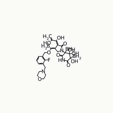 B/C(OCc1cccc(CN2CCOCC2)c1F)=C1/CN(C2(B)C(=O)NC(=O)C(B)(O)C2(O)O)C(=O)/C1=C(\O)C(=C)O